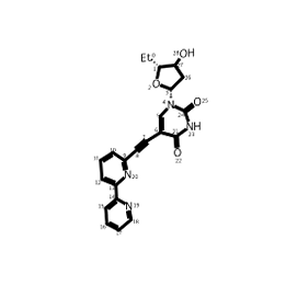 CC[C@H]1O[C@@H](n2cc(C#Cc3cccc(-c4ccccn4)n3)c(=O)[nH]c2=O)CC1O